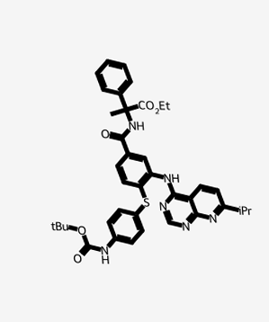 CCOC(=O)C(C)(NC(=O)c1ccc(Sc2ccc(NC(=O)OC(C)(C)C)cc2)c(Nc2ncnc3nc(C(C)C)ccc23)c1)c1ccccc1